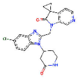 O=C1CC(n2c(CN3C(=O)C4(CC4)c4ccncc43)nc3cc(Cl)ccc32)CCN1